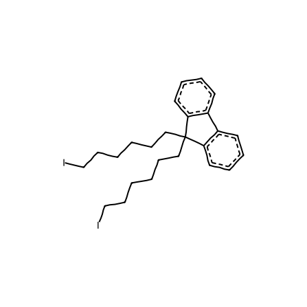 ICCCCCCC1(CCCCCCI)c2ccccc2-c2ccccc21